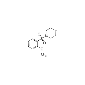 O=S(=O)(c1ccccc1OC(F)(F)F)N1CC[CH]CC1